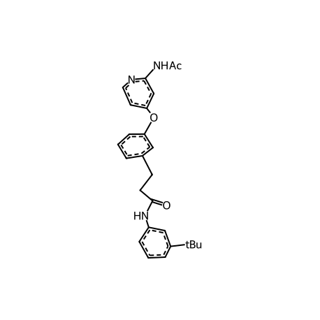 CC(=O)Nc1cc(Oc2cccc(CCC(=O)Nc3cccc(C(C)(C)C)c3)c2)ccn1